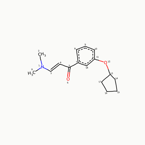 CN(C)/C=C/C(=O)c1cccc(OC2CCCC2)c1